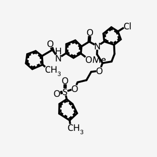 COc1cc(NC(=O)c2ccccc2C)ccc1C(=O)N1CC(OCCCOS(=O)(=O)c2ccc(C)cc2)CCc2cc(Cl)ccc21